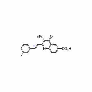 CCCc1c(/C=C/c2cccc(C)c2)nc2ccc(C(=O)O)cn2c1=O